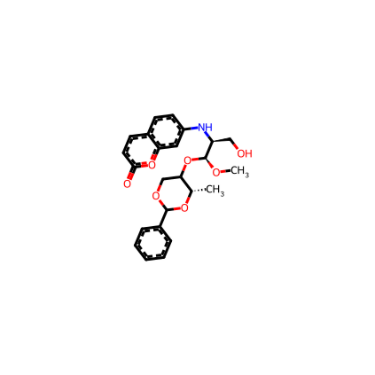 CO[C@@H](OC1COC(c2ccccc2)O[C@H]1C)[C@H](CO)Nc1ccc2ccc(=O)oc2c1